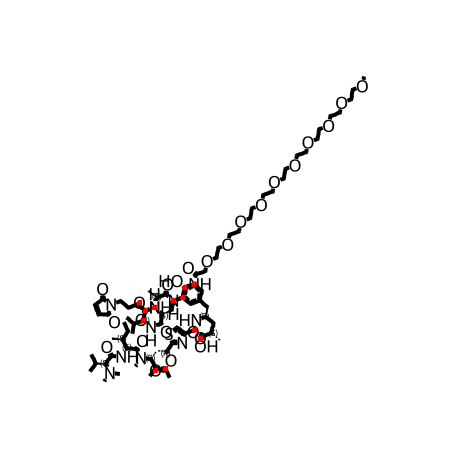 CC[C@H](C)[C@H](NC(=O)[C@H](C(C)C)N(C)C)C(=O)N(C)[C@H](C[C@@H](OC(C)=O)c1nc(C(=O)N[C@@H](Cc2ccc(O)c(NC(=O)[C@H](C)NC(=O)[C@@H](NC(=O)[C@H](CCCCNC(=O)COCCOCCOCCOCCOCCOCCOCCOCCOCCOC)NC(=O)CCCN3C(=O)C=CC3=O)C(C)C)c2)C[C@H](C)C(=O)O)cs1)C(C)C